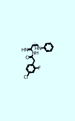 N=C(/C=C\Nc1ccccc1)NC(=O)Cc1ccc(Cl)cc1F